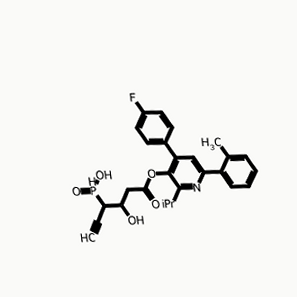 C#CC(C(O)CC(=O)Oc1c(-c2ccc(F)cc2)cc(-c2ccccc2C)nc1C(C)C)[PH](=O)O